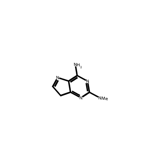 CNc1nc(N)c2c(n1)CC=N2